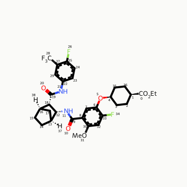 CCOC(=O)[C@H]1CC[C@@H](Oc2cc(C(=O)N[C@@H]3[C@H]4CC[C@H](C4)[C@@H]3C(=O)Nc3ccc(F)c(C(F)(F)F)c3)c(OC)cc2F)CC1